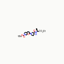 C#CC(CC(=O)OCC)NC(=O)[C@@H]1CCCN(C(=O)/C=C\C2CCN(C(=O)OC(C)(C)C)CC2)C1